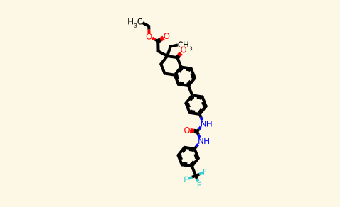 CCOC(=O)CC1(CC)CCc2cc(-c3ccc(NC(=O)Nc4cccc(C(F)(F)F)c4)cc3)ccc2C1=O